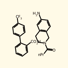 CCCC(=O)N1CCc2cc(N)ccc2C1.O=C(O)c1ccccc1-c1ccc(C(F)(F)F)cc1